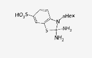 CCCCCCN1c2ccc(S(=O)(=O)O)cc2SC1(N)N